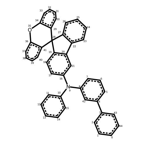 c1ccc(-c2cccc(N(c3ccccc3)c3ccc4c(c3)-c3ccccc3C43c4ccccc4Oc4ccccc43)c2)cc1